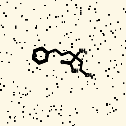 CCCC(N)(CCCc1ccccc1)C(=O)O